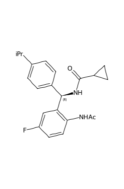 CC(=O)Nc1ccc(F)cc1[C@H](NC(=O)C1CC1)c1ccc(C(C)C)cc1